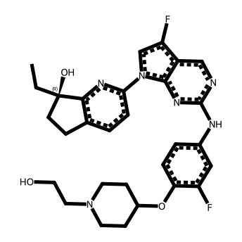 CC[C@@]1(O)CCc2ccc(-n3cc(F)c4cnc(Nc5ccc(OC6CCN(CCO)CC6)c(F)c5)nc43)nc21